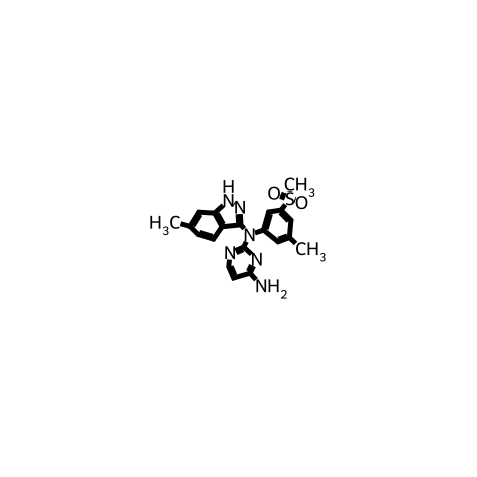 Cc1cc(N(c2nccc(N)n2)c2n[nH]c3cc(C)ccc23)cc(S(C)(=O)=O)c1